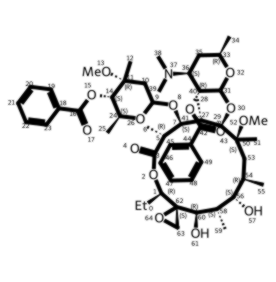 CC[C@H]1OC(=O)[C@H](C)[C@@H](OC2C[C@@](C)(OC)[C@@H](OC(=O)c3ccccc3)[C@H](C)O2)[C@H](C)[C@@H](OC2O[C@H](C)C[C@H](N(C)C)[C@H]2OC(=O)c2ccccc2)[C@@](C)(OC)C[C@@H](C)[C@H](O)[C@H](C)[C@@H](O)[C@@]12CO2